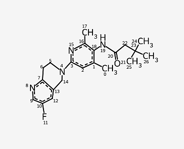 Cc1cc(N2CCc3ncc(F)cc3C2)nc(C)c1NC(=O)CC(C)(C)C